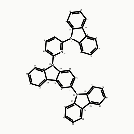 c1cc(-n2c3ccccc3c3ccccc32)nc(-n2c3ccccc3c3cc(-n4c5ccccc5c5ccccc54)ccc32)c1